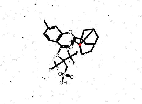 O=C(OC(CS(=O)(=O)O)(C(F)(F)F)C(F)(F)F)c1ccc(I)cc1OC(=O)C12CC3CC(C1)C(O)C(C3)C2